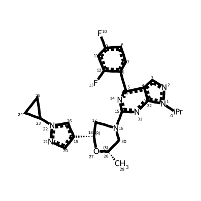 CC(C)n1ncc2c(-c3ccc(F)cc3F)nc(N3C[C@@H](c4cnn(C5CC5)c4)O[C@@H](C)C3)nc21